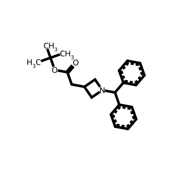 CC(C)(C)OC(=O)CC1CN(C(c2ccccc2)c2ccccc2)C1